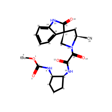 CC(C)(C)OC(=O)N[C@@H]1CCC[C@@H]1NC(=O)C(=O)N1C[C@]2(C[C@H]1C#N)C(=O)Nc1ccccc12